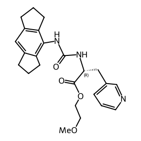 COCCOC(=O)[C@@H](Cc1cccnc1)NC(=O)Nc1c2c(cc3c1CCC3)CCC2